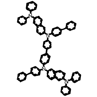 c1ccc(-c2ccc(N(c3ccc(-c4ccc(N(c5ccc(-c6ccccc6)cc5)c5ccc6cc(N(c7ccccc7)c7ccccc7)ccc6c5)cc4)cc3)c3ccc4cc(N(c5ccccc5)c5ccccc5)ccc4c3)cc2)cc1